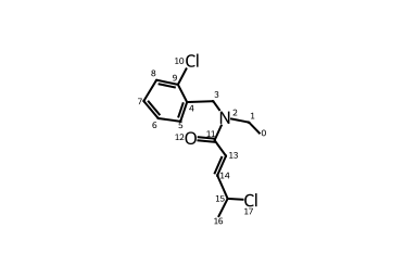 CCN(Cc1ccccc1Cl)C(=O)C=CC(C)Cl